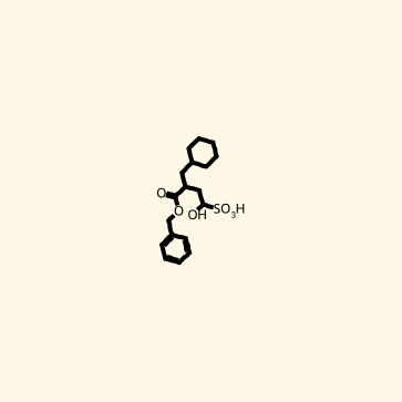 O=C(OCc1ccccc1)C(CC1CCCCC1)CC(O)S(=O)(=O)O